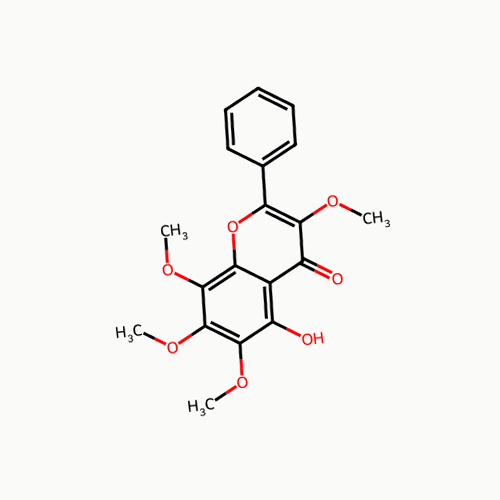 COc1c(OC)c(O)c2c(=O)c(OC)c(-c3ccccc3)oc2c1OC